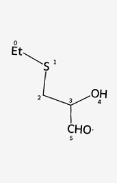 CCSCC(O)[C]=O